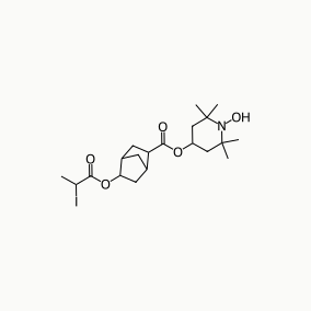 CC(I)C(=O)OC1CC2CC1CC2C(=O)OC1CC(C)(C)N(O)C(C)(C)C1